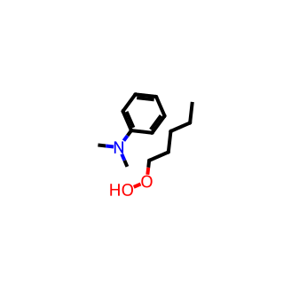 CCCCCOO.CN(C)c1ccccc1